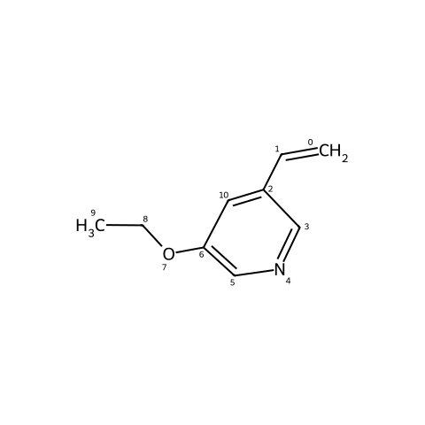 C=Cc1cncc(OCC)c1